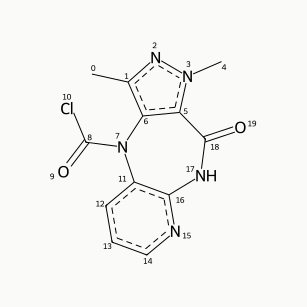 Cc1nn(C)c2c1N(C(=O)Cl)c1cccnc1NC2=O